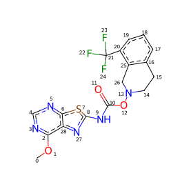 COc1ncnc2sc(NC(=O)ON3CCc4cccc(C(F)(F)F)c4C3)nc12